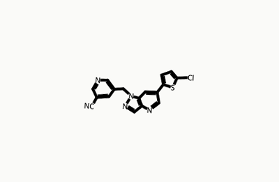 N#Cc1cncc(Cn2ncc3ncc(-c4ccc(Cl)s4)cc32)c1